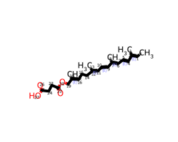 C/C=C(C)/C=C/C=C(C)/C=C/C=C(\C)CC/C=C(\C)COC(=O)CCC(=O)O